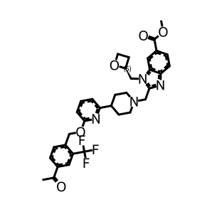 COC(=O)c1ccc2nc(CN3CCC(c4cccc(OCc5ccc(C(C)=O)cc5C(F)(F)F)n4)CC3)n(C[C@@H]3CCO3)c2c1